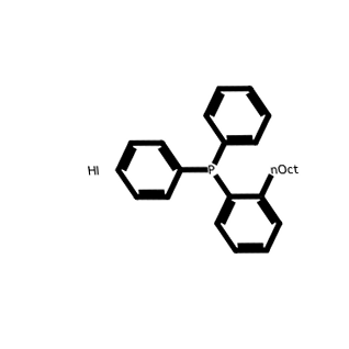 CCCCCCCCc1ccccc1P(c1ccccc1)c1ccccc1.I